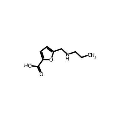 CCCNCc1ccc(C(=O)O)o1